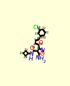 Nc1onc(-c2ccc(-c3cccc(Cl)c3)o2)c1C(=O)NC1CCC1